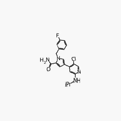 CC(C)Nc1cc(-c2cc(C(N)=O)n(Cc3cccc(F)c3)c2)c(Cl)cn1